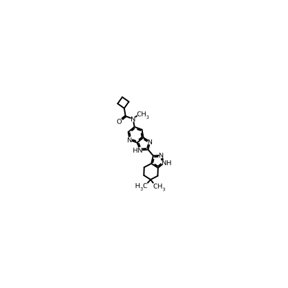 CN(C(=O)C1CCC1)c1cnc2[nH]c(-c3n[nH]c4c3CCC(C)(C)C4)nc2c1